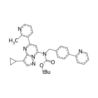 Cc1ncccc1-c1cc(N(Cc2ccc(-c3ccccn3)cc2)C(=O)OC(C)(C)C)n2ncc(C3CC3)c2n1